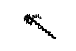 CCCCCCCCCOCCCc1c(C)nc2ncnn2c1N